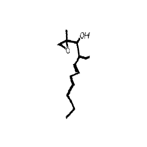 CCCCC/C=C/C(C)C(O)C1(C)CO1